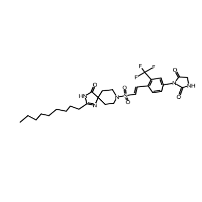 CCCCCCCCCC1=NC2(CCN(S(=O)(=O)/C=C/c3ccc(N4C(=O)CNC4=O)cc3C(F)(F)F)CC2)C(=O)N1